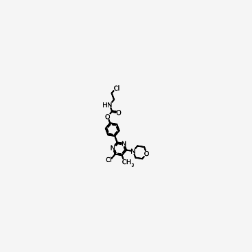 Cc1c(Cl)nc(-c2ccc(OC(=O)NCCCl)cc2)nc1N1CCOCC1